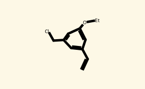 C=Cc1cc(CCl)cc(OCC)c1